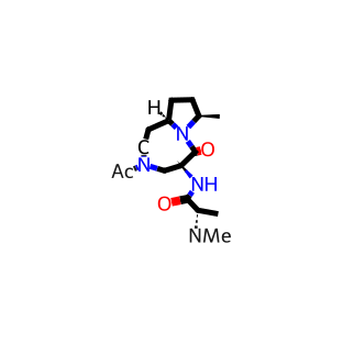 CN[C@@H](C)C(=O)N[C@H]1CN(C(C)=O)CC[C@H]2CC[C@@H](C)N2C1=O